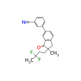 CC(F)(F)CCC1(C)Cc2ccc(-c3cccc(C#N)c3)cc2C1=O